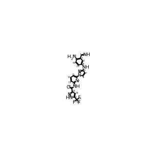 N=Cc1cc(Nc2ccn(-c3cccc(NC(=O)c4cc(C(F)(F)F)[nH]n4)n3)n2)ccc1N